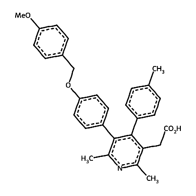 COc1ccc(COc2ccc(-c3c(C)nc(C)c(CC(=O)O)c3-c3ccc(C)cc3)cc2)cc1